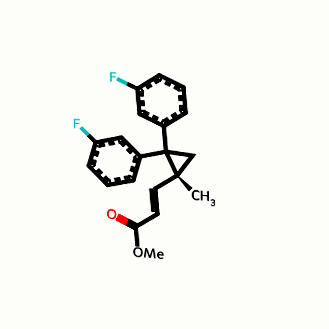 COC(=O)/C=C/[C@@]1(C)CC1(c1cccc(F)c1)c1cccc(F)c1